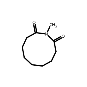 CN1C(=O)CCCCCCCC1=O